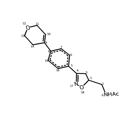 CC(=O)NCC1CC(c2ccc(C3=CCOCC3)cc2)=NO1